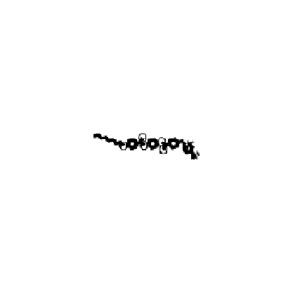 CCCCCCCCOc1ccc(C(=O)Oc2ccc(OC(=O)c3ccc(C[n+]4ccc(N(C)C)cc4)cc3)cc2)cc1